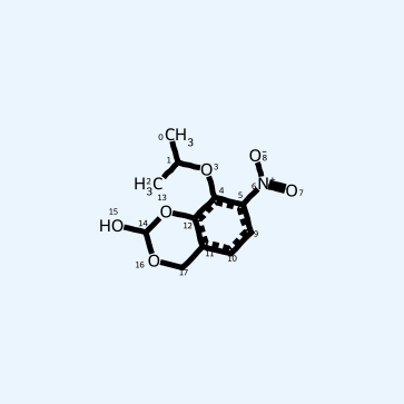 CC(C)Oc1c([N+](=O)[O-])ccc2c1OC(O)OC2